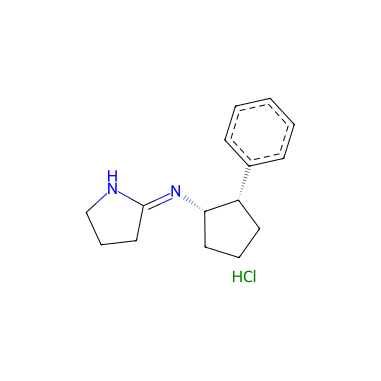 Cl.c1ccc([C@@H]2CCC[C@@H]2/N=C2\CCCN2)cc1